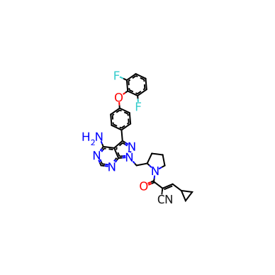 N#CC(=CC1CC1)C(=O)N1CCCC1Cn1nc(-c2ccc(Oc3c(F)cccc3F)cc2)c2c(N)ncnc21